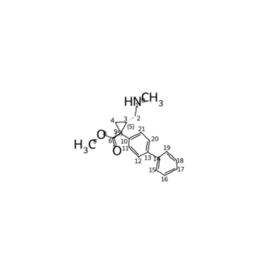 CNC[C@H]1C[C@@]1(C(=O)OC)c1ccc(-c2ccccc2)cc1